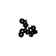 c1ccc2c(c1)Sc1c(ccc3c4c5ccccc5ccc4n(-c4ccc5sc6ccccc6c5c4)c13)C21c2ccccc2-c2ccccc21